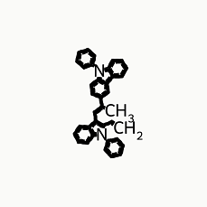 C=Cc1c(/C=C(\C)c2ccc3c(c2)c2ccccc2n3-c2ccccc2)c2ccccc2n1-c1ccccc1